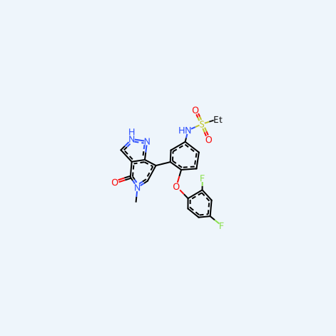 CCS(=O)(=O)Nc1ccc(Oc2ccc(F)cc2F)c(-c2cn(C)c(=O)c3c[nH]nc23)c1